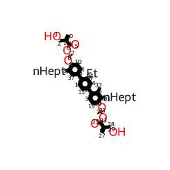 C=C(CO)C(=O)OCOc1ccc(-c2ccc(-c3ccc(OCOC(=O)C(=C)CO)c(CCCCCCC)c3C)cc2CC)cc1CCCCCCC